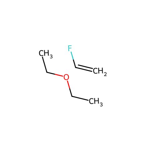 C=CF.CCOCC